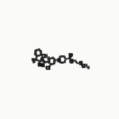 COCCOC(=O)C1CCN(c2ccc(-c3nnc(C4(c5ccccc5)CC4)n3C)c(Cl)c2)CC1